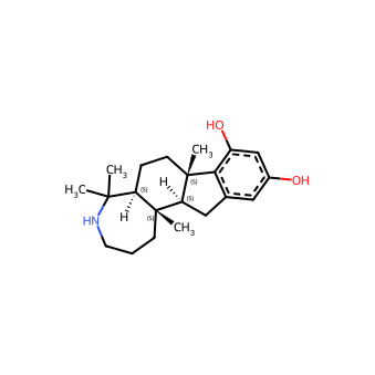 CC1(C)NCCC[C@]2(C)[C@@H]1CC[C@]1(C)c3c(O)cc(O)cc3C[C@@H]21